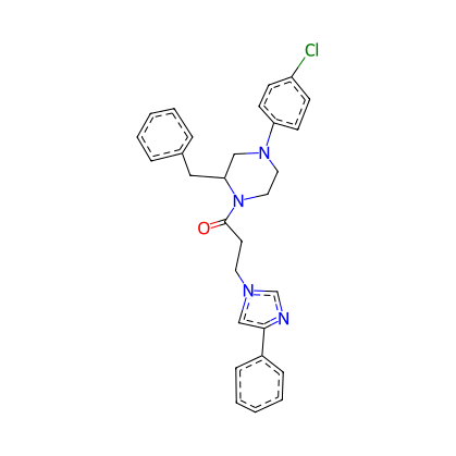 O=C(CCn1cnc(-c2ccccc2)c1)N1CCN(c2ccc(Cl)cc2)CC1Cc1ccccc1